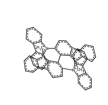 Cn1c2ccccc2c2ccc(-n3c4ccccc4c4ccccc43)c(-c3c(-n4c5ccccc5c5ccccc54)ccc4c5ccccc5n(C)c34)c21